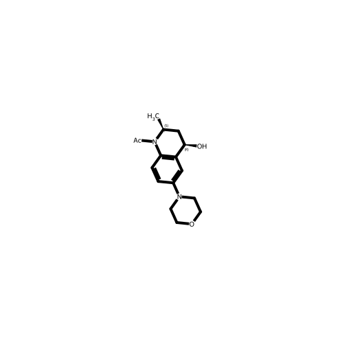 CC(=O)N1c2ccc(N3CCOCC3)cc2[C@H](O)C[C@@H]1C